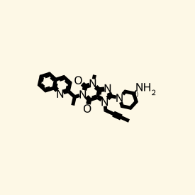 CC#CCn1c(N2CCC[C@@H](N)C2)nc2c1c(=O)n(C(C)c1ccc3ccccc3n1)c(=O)n2C